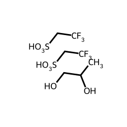 CC(O)CO.O=S(=O)(O)CC(F)(F)F.O=S(=O)(O)CC(F)(F)F